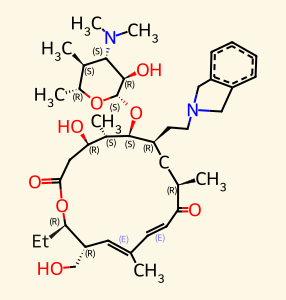 CC[C@H]1OC(=O)C[C@@H](O)[C@H](C)[C@@H](O[C@@H]2O[C@H](C)[C@@H](C)[C@H](N(C)C)[C@H]2O)[C@@H](CCN2Cc3ccccc3C2)C[C@@H](C)C(=O)/C=C/C(C)=C/[C@@H]1CO